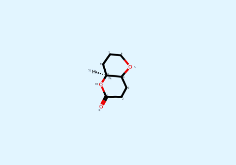 O=C1CCC2OCCC[C@@H]2O1